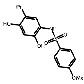 COc1ccc(S(=O)(=O)Nc2cc(C(C)C)c(O)cc2O)cc1